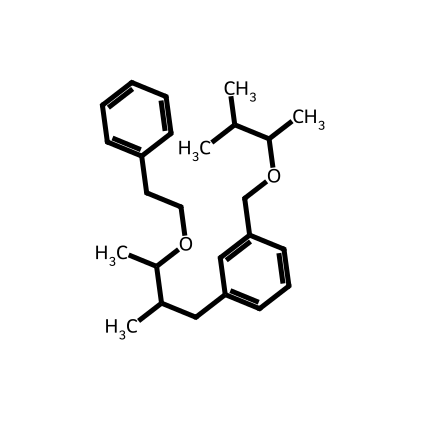 CC(C)C(C)OCc1cccc(CC(C)C(C)OCCc2ccccc2)c1